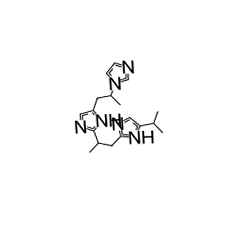 CC(C)c1cnc(CC(C)c2ncc(CC(C)n3ccnc3)[nH]2)[nH]1